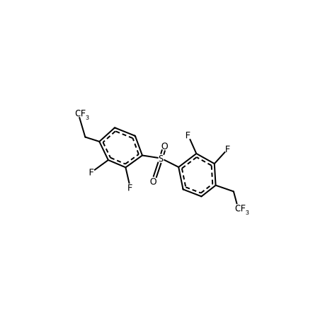 O=S(=O)(c1ccc(CC(F)(F)F)c(F)c1F)c1ccc(CC(F)(F)F)c(F)c1F